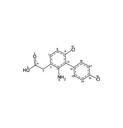 Nc1c(CC(=O)O)ccc(Cl)c1-c1ccc(Cl)cc1